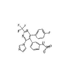 O=[SH](=O)Nc1cccc(-c2c(-c3ccc(F)cc3)nc(C(F)(F)F)nc2-n2ccnc2)c1